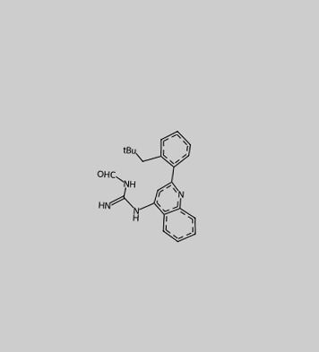 CC(C)(C)Cc1ccccc1-c1cc(NC(=N)NC=O)c2ccccc2n1